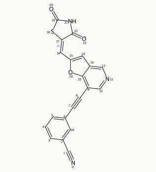 N#Cc1cccc(C#Cc2cncc3cc(/C=C4/SC(=O)NC4=O)oc23)c1